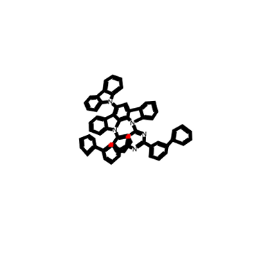 c1ccc(-c2cccc(-c3nc(-c4cccc(-c5ccccc5)c4)nc(-n4c5ccccc5c5cc(-n6c7ccccc7c7ccccc76)c6c7ccccc7n(-c7ccccc7)c6c54)n3)c2)cc1